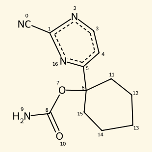 N#Cc1nccc(C2(OC(N)=O)CCCCC2)n1